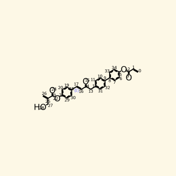 C=CC(=O)Oc1ccc(-c2ccc(CC(=O)/C=C/c3ccc(OC(=O)C(=C)CO)cc3)cc2)cc1